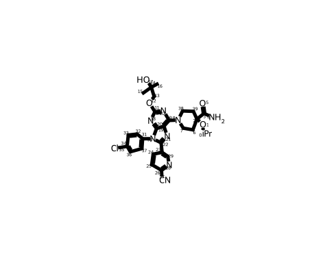 CC(C)OC1(C(N)=O)CCN(c2nc(OCC(C)(C)O)nc3c2nc(-c2ccc(C#N)nc2)n3-c2ccc(Cl)cc2)CC1